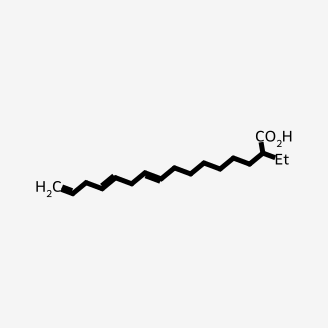 C=CCC=CCC=CCCCCCCC(CC)C(=O)O